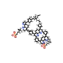 C=CCC(CC=C)(CCc1ccc(-c2ccnc3c2ccc2[c]([Ru+2])ccnc23)cc1)[SiH2]C.C[Si](C)(C)CCCS(=O)(=O)[O-].C[Si](C)(C)CCCS(=O)(=O)[O-].c1ccc(-c2ccnc3c2ccc2c(-c4ccccc4)ccnc23)cc1.c1ccc(-c2ccnc3c2ccc2c(-c4ccccc4)ccnc23)cc1